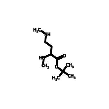 CNCCC(NC)C(=O)OC(C)(C)C